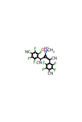 C[NH+]([O-])C1=C(C(C#N)c2c(F)c(F)c(C#N)c(F)c2F)C/1=C(/C#N)c1c(F)c(F)c(C#N)c(F)c1F